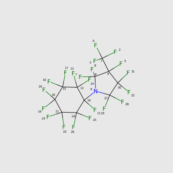 FC(F)(F)C1(F)C(F)(F)N(C2(F)C(F)(F)C(F)(F)C(F)(F)C(F)(F)C2(F)F)C(F)(F)C1(F)F